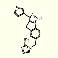 CC(C)c1nccn1Cc1ccc2c(c1)Cc1c(-c3ccsc3)n[nH]c1-2